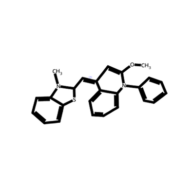 COC1=C/C(=C/C2Sc3ccccc3N2C)c2ccccc2N1c1ccccc1